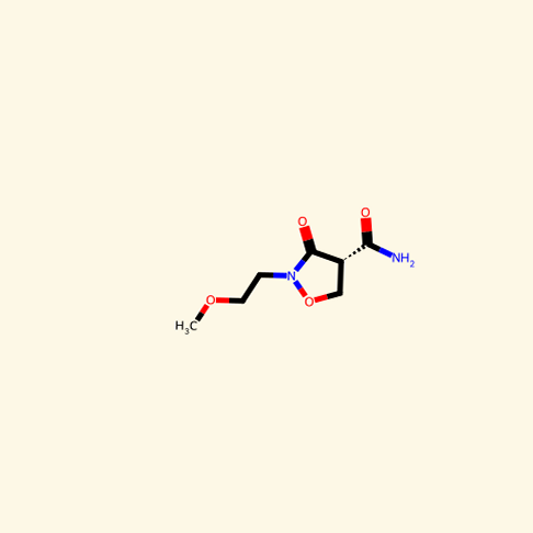 COCCN1OC[C@@H](C(N)=O)C1=O